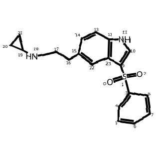 O=S(=O)(c1ccccc1)c1c[nH]c2ccc(CCNC3CC3)cc12